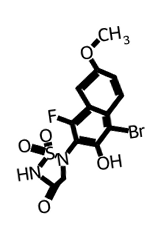 COc1ccc2c(Br)c(O)c(N3CC(=O)NS3(=O)=O)c(F)c2c1